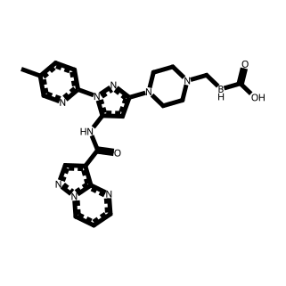 Cc1ccc(-n2nc(N3CCN(CBC(=O)O)CC3)cc2NC(=O)c2cnn3cccnc23)nc1